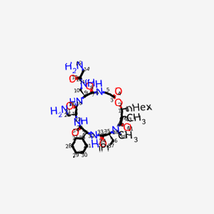 CCCCCC[C@@H]1OC(=O)CNC(=O)[C@H](CNC(=O)CN)NC(=O)[C@H](CN)NC(=O)[C@H](C2CCCCC2)NC(=O)[C@H](CC(C)C)N(C)C(=O)[C@@H]1C